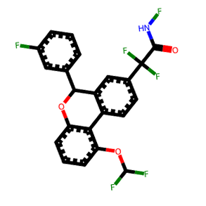 O=C(NF)C(F)(F)c1ccc2c(c1)C(c1cccc(F)c1)Oc1cccc(OC(F)F)c1-2